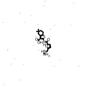 CC1(C)CCc2sc(NC(=O)c3ccc(CNN)o3)c(C(=O)O)c2C1